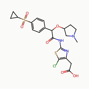 CN1CCC(OC(C(=O)Nc2nc(CC(=O)O)c(Cl)s2)c2ccc(S(=O)(=O)C3CC3)cc2)C1